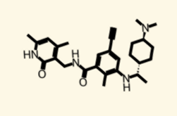 C#Cc1cc(NC(C)[C@H]2CC[C@H](N(C)C)CC2)c(C)c(C(=O)NCc2c(C)cc(C)[nH]c2=O)c1